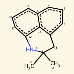 CC1(C)Cc2cccc3cccc(c23)N1